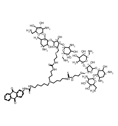 NCC1O[C@@H](O[C@@H]2C(N)C[C@@H](N)C(O)[C@H]2OC2O[C@H](CSCCNC(=S)NCCCCN(CCCCCNC(=S)Nc3ccc4c(c3)C(=O)c3ccccc3C4=O)CCCNC(=S)NCCSC[C@H]3OC(O[C@@H]4C(O)[C@H](N)CC(N)[C@H]4O[C@@H]4OC(CN)[C@@H](O)[C@H](O)C4N)[C@@H](O)[C@H]3O[C@H]3O[C@@H](CN)[C@@H](O)C(O)C3N)[C@H](O[C@H]3O[C@@H](CN)[C@@H](O)C(O)C3N)[C@@H]2O)C(N)[C@@H](O)[C@@H]1O